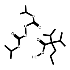 CC(C)OC(=O)OOC(=O)OC(C)C.CCCC(C(=O)OO)(C(C)C)C(C)C